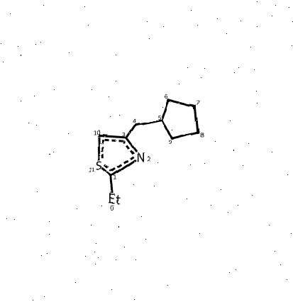 CCc1nc(CC2CCCC2)cs1